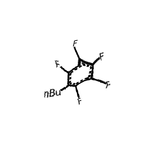 CCCCc1c(F)c(F)c(F)c(F)c1F